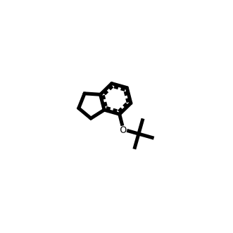 CC(C)(C)Oc1cccc2c1CCC2